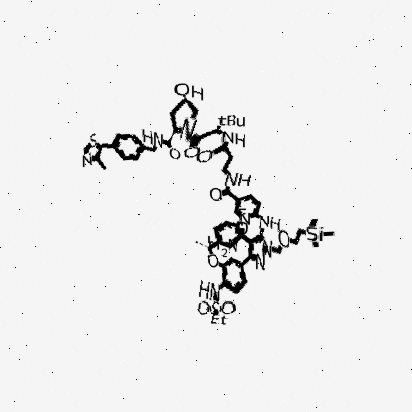 CCS(=O)(=O)Nc1ccc(-c2nn(COCC[Si](C)(C)C)c(Nc3ccc(C(=O)NCCC(=O)N[C@@H](C(=O)N4C[C@@H](O)C[C@@H]4C(=O)NCc4ccc(-c5scnc5C)cc4)C(C)(C)C)cn3)c2C(N)=O)cc1O[C@H](C)c1ccc(F)cc1